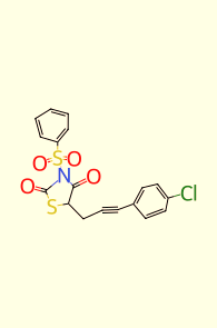 O=C1SC(CC#Cc2ccc(Cl)cc2)C(=O)N1S(=O)(=O)c1ccccc1